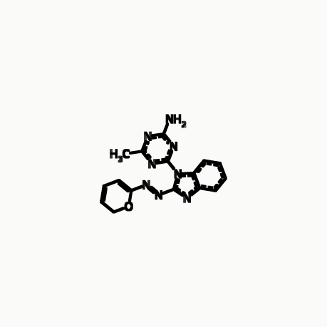 Cc1nc(N)nc(-n2c(N=NC3=CC=CCO3)nc3ccccc32)n1